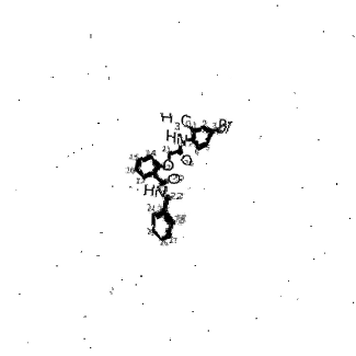 Cc1cc(Br)ccc1NC(=O)COc1ccccc1C(=O)NCc1ccccc1